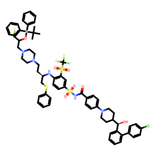 CC(C)(C)[Si](OC(CF)CN1CCN(CC[C@H](CSc2ccccc2)Nc2ccc(S(=O)(=O)NC(=O)c3ccc(N4CCC([C@@H](O)c5ccccc5-c5ccc(Cl)cc5)CC4)cc3)cc2S(=O)(=O)C(F)(F)F)CC1)(c1ccccc1)c1ccccc1